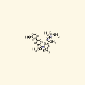 C=C(/C=C\N=C(/C)N)c1ccc(=C)/c(=C(\OC)c2ccc(N3CCCC(O)C3)cc2)c1